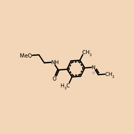 C/C=N/c1cc(C)c(C(=O)NCCOC)cc1C